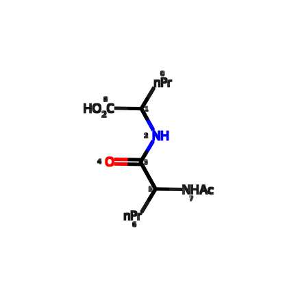 CCCC(NC(=O)C(CCC)NC(C)=O)C(=O)O